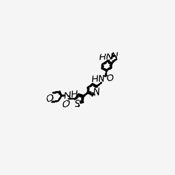 O=C(NCc1ccc(-c2csc(C(=O)NC3CCOCC3)c2)cn1)c1ccc2[nH]ncc2c1